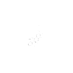 Cc1nnc(N[C@H](C)c2cccc(C(F)(F)F)c2)c2cc(N3CC(O)C3)c(C(F)(F)F)nc12